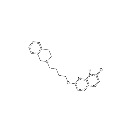 O=c1ccc2ccc(OCCCCN3CCc4ccccc4C3)nc2[nH]1